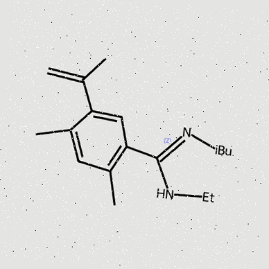 C=C(C)c1cc(/C(=N/C(C)CC)NCC)c(C)cc1C